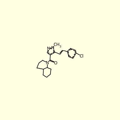 Cn1ncc(C(=O)N2CCCC3CCCCC32)c1C=Cc1ccc(Cl)cc1